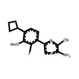 COc1c(C2CCC2)ccc(-c2cnc(N)c(C#N)n2)c1F